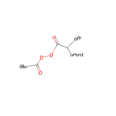 CCCCCC(CCC)C(=O)OOC(=O)C(C)CC